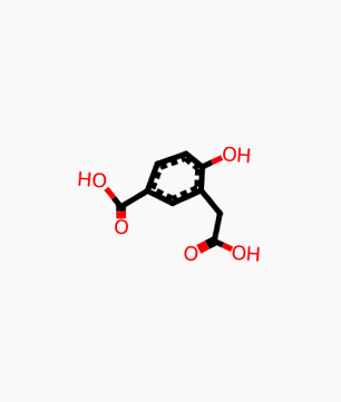 O=C(O)Cc1cc(C(=O)O)ccc1O